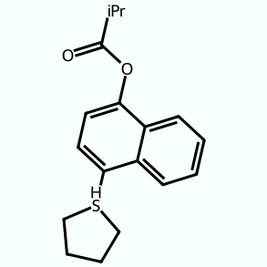 CC(C)C(=O)Oc1ccc([SH]2CCCC2)c2ccccc12